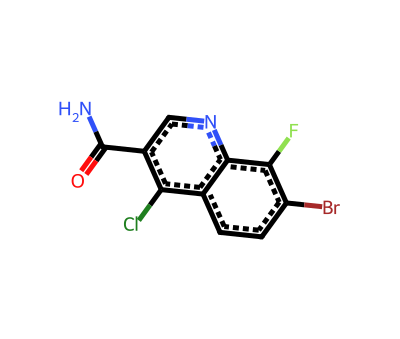 NC(=O)c1cnc2c(F)c(Br)ccc2c1Cl